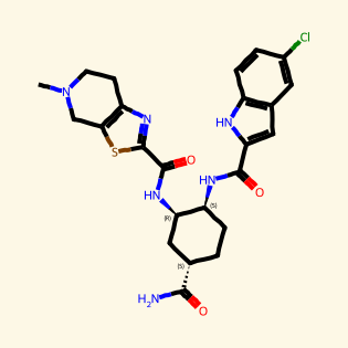 CN1CCc2nc(C(=O)N[C@@H]3C[C@@H](C(N)=O)CC[C@@H]3NC(=O)c3cc4cc(Cl)ccc4[nH]3)sc2C1